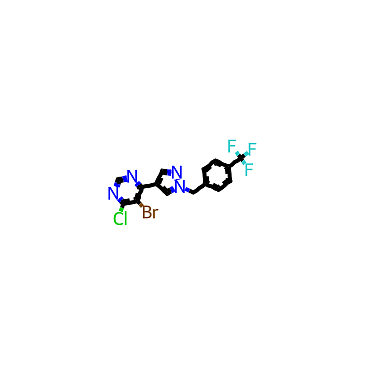 FC(F)(F)c1ccc(Cn2cc(-c3ncnc(Cl)c3Br)cn2)cc1